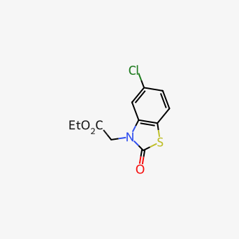 CCOC(=O)Cn1c(=O)sc2ccc(Cl)cc21